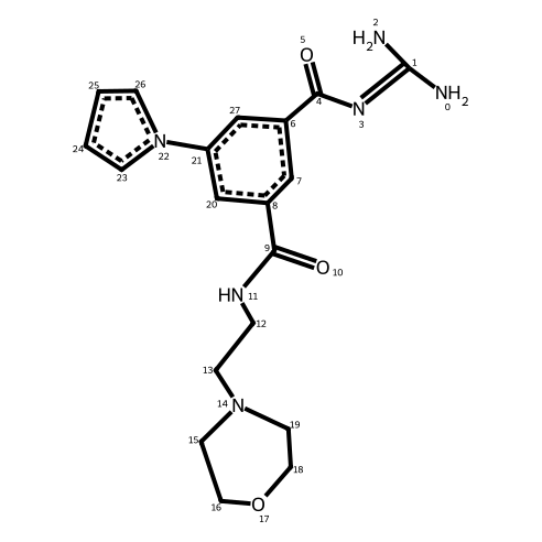 NC(N)=NC(=O)c1cc(C(=O)NCCN2CCOCC2)cc(-n2cccc2)c1